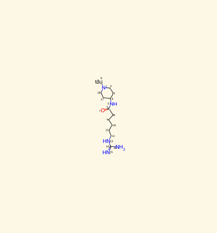 CC(C)(C)N1CCC(NC(=O)CCCCCNC(=N)N)CC1